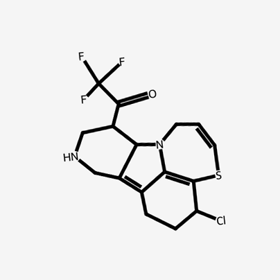 O=C(C1CNCC2=C3CCC(Cl)C4=C3N(CC=CS4)C21)C(F)(F)F